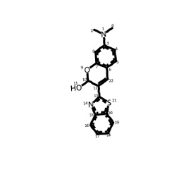 CN(C)c1ccc2c(c1)OC(O)C(c1nc3ccccc3s1)=C2